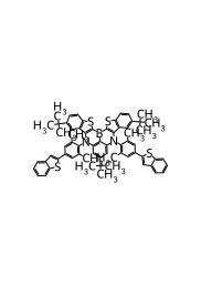 Cc1cc(-c2cc3ccccc3s2)cc(C)c1N1c2cc(C(C)(C)C)cc3c2B(c2sc4ccc(C(C)(C)C)cc4c21)c1sc2ccc(C(C)(C)C)cc2c1N3c1c(C)cc(-c2cc3ccccc3s2)cc1C